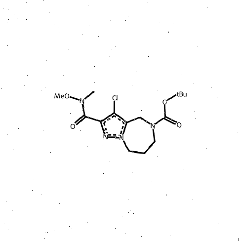 CON(C)C(=O)c1nn2c(c1Cl)CN(C(=O)OC(C)(C)C)CCC2